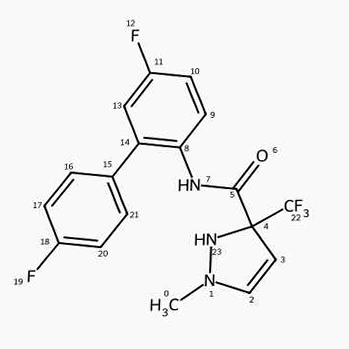 CN1C=CC(C(=O)Nc2ccc(F)cc2-c2ccc(F)cc2)(C(F)(F)F)N1